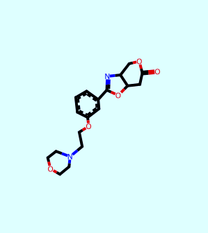 O=C1CC2OC(c3cccc(OCCN4CCOCC4)c3)=NC2CO1